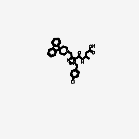 CC(CC(=O)O)NC(=O)c1c(CN2CCC(c3ccccc3)(c3ccccc3)CC2)ncn1Cc1ccc(Cl)cc1